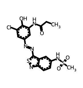 CCC(=O)Nc1cc(/N=N/c2snc3ccc(NS(C)(=O)=O)cc23)cc(Cl)c1O